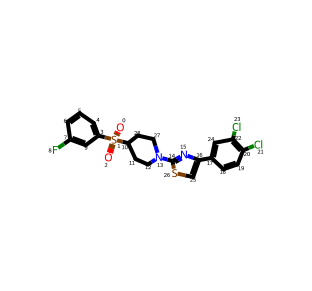 O=S(=O)(c1cccc(F)c1)C1CCN(c2nc(-c3ccc(Cl)c(Cl)c3)cs2)CC1